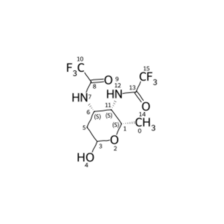 C[C@@H]1OC(O)C[C@H](NC(=O)C(F)(F)F)[C@@H]1NC(=O)C(F)(F)F